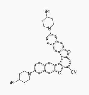 CC(C)C1CCN(c2ccc3cc4c(cc3c2)oc2cc(C#N)c3oc5cc6cc(N7CCC(C(C)C)CC7)ccc6cc5c3c24)CC1